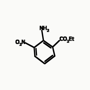 CCOC(=O)c1cccc([N+](=O)[O-])c1N